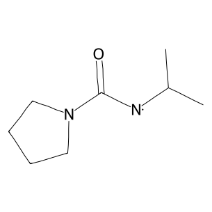 CC(C)[N]C(=O)N1CCCC1